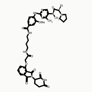 CC[C@H](C(=O)N(C)c1cnc(Nc2ccc(C(=O)NCCCCNC(=O)COc3cccc4c3C(=O)N(C3CCC(=O)NC3=O)C4=O)cc2OC)nc1C)N1CCCC1